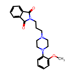 COc1ccccc1N1CCN(CCCN2C(=O)c3ccccc3C2=O)CC1